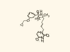 CC(C)(CCC=CCn1ccc(=O)[nH]c1=O)NS(=O)(=O)c1cccc(OCC2CC2)c1